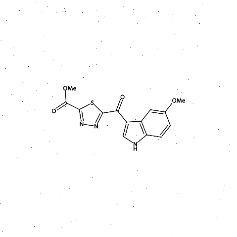 COC(=O)c1nnc(C(=O)c2c[nH]c3ccc(OC)cc23)s1